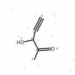 C#CC(O)C(C)=O